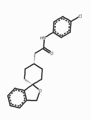 O=C(C[C@H]1CC[C@]2(CC1)OCc1ccccc12)Nc1ccc(Cl)cc1